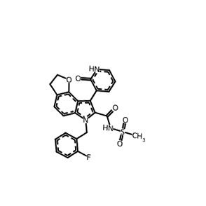 CS(=O)(=O)NC(=O)c1c(-c2ccc[nH]c2=O)c2c3c(ccc2n1Cc1ccccc1F)CCO3